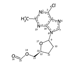 Cc1nc(Cl)c2ncn(C3CC[C@@H](COC=O)O3)c2n1